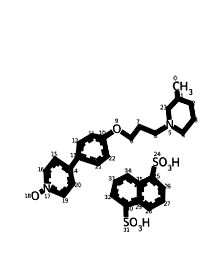 CC1CCCN(CCCOc2ccc(-c3cc[n+]([O-])cc3)cc2)C1.O=S(=O)(O)c1cccc2c(S(=O)(=O)O)cccc12